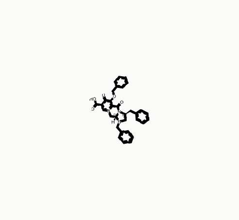 O=C(O)c1cn2c(c(OCc3ccccc3)c1=O)C(=O)N1[C@@H](Cc3ccccc3)CN(Cc3ccccc3)[C@@H]1C2